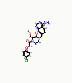 COC[C@H]1C(=O)N(Cc2ccc3c(N)ncnc3c2)CCN1C(=O)COc1ccc(Cl)cc1